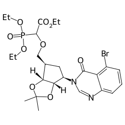 CCOC(=O)C(OC[C@H]1C[C@@H](n2cnc3cccc(Br)c3c2=O)[C@@H]2OC(C)(C)O[C@H]12)P(=O)(OCC)OCC